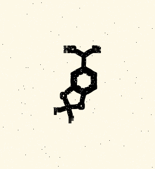 CCC(O)c1ccc2c(c1)OC(F)(F)O2